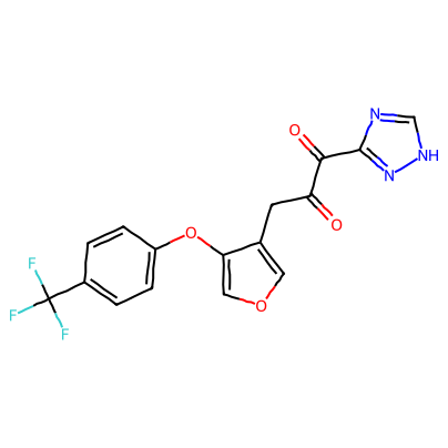 O=C(Cc1cocc1Oc1ccc(C(F)(F)F)cc1)C(=O)c1nc[nH]n1